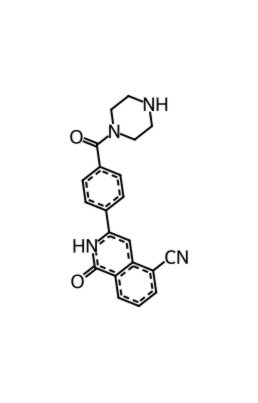 N#Cc1cccc2c(=O)[nH]c(-c3ccc(C(=O)N4CCNCC4)cc3)cc12